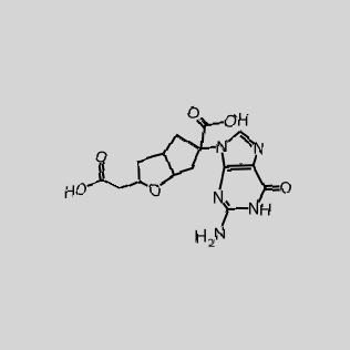 Nc1nc2c(ncn2C2(C(=O)O)CC3CC(CC(=O)O)OC3C2)c(=O)[nH]1